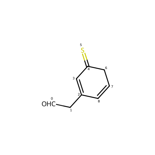 O=CCC1=CC(=S)CC=C1